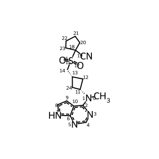 CN(c1ncnc2[nH]ccc12)[C@H]1C[C@@H](CS(=O)(=O)C2(C#N)CCCC2)C1